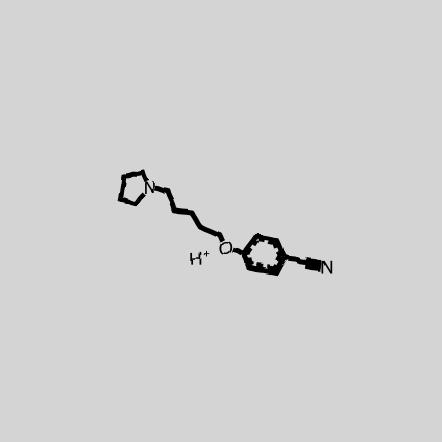 N#Cc1ccc(OCCCCCN2CCCC2)cc1.[H+]